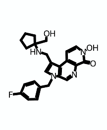 O=c1c2ncc3c(c(CNC4(CO)CCCC4)cn3Cc3ccc(F)cc3)c2ccn1O